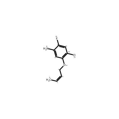 C/C=C\COc1cc(N)c(F)cc1Cl